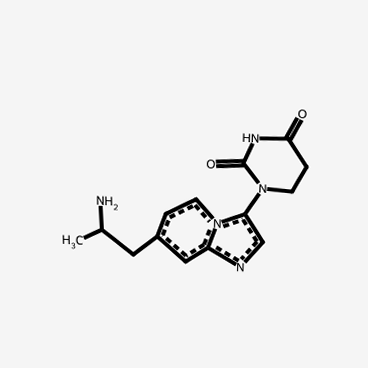 CC(N)Cc1ccn2c(N3CCC(=O)NC3=O)cnc2c1